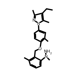 CCc1c(C)nn(-c2ccc(OCc3c(C)cccc3N(C)N)c(C)c2)c1C